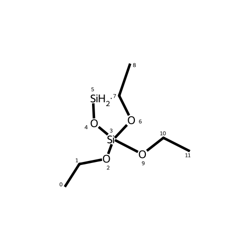 CCO[Si](O[SiH2])(OCC)OCC